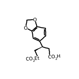 CCOC(=O)C[C@H](CC(=O)O)c1ccc2c(c1)OCO2